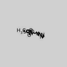 CSc1ccc2c(c1)C(=O)N(CCCCN1CCN(c3ncccn3)CC1)S2(=O)=O